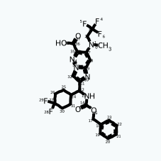 CN(CC(F)(F)F)c1cc2nc(C(NC(=O)OCc3ccccc3)C3CCC(F)(F)CC3)cn2nc1C(=O)O